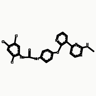 CNc1nccc(-c2cccnc2Oc2ccc(NC(=O)Nc3cc(Cl)c(Cl)cc3Cl)cc2)n1